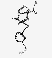 CCC(CC)n1ncc2c(=O)[nH]c(Cc3cccc(CC(F)(F)F)c3)nc21